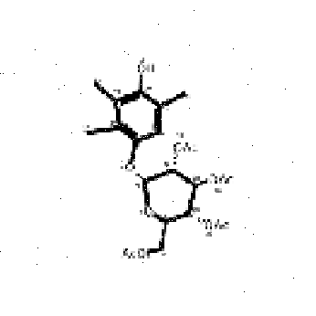 CC(=O)OC[C@H]1O[C@H](Oc2cc(C)c(O)c(C)c2C)[C@H](OC(C)=O)[C@@H](OC(C)=O)[C@@H]1OC(C)=O